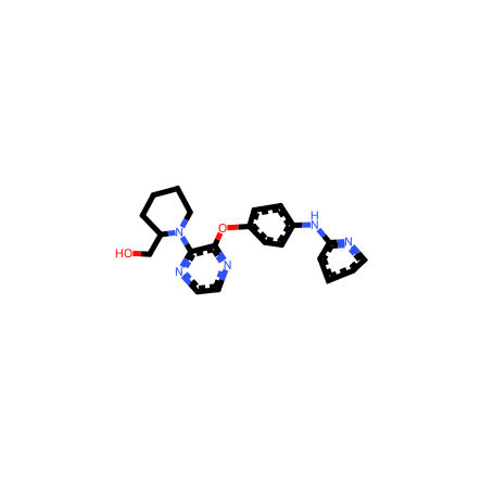 OCC1CCCCN1c1nccnc1Oc1ccc(Nc2ccccn2)cc1